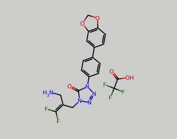 NCC(Cn1nnn(-c2ccc(-c3ccc4c(c3)OCO4)cc2)c1=O)=C(F)F.O=C(O)C(F)(F)F